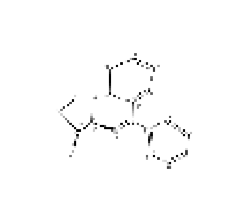 F[C@H]1CCC[C@H]1N=C(c1ccccc1)c1ccccc1